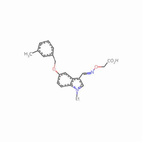 CCn1cc(C=NOCC(=O)O)c2cc(OCc3cccc(C)c3)ccc21